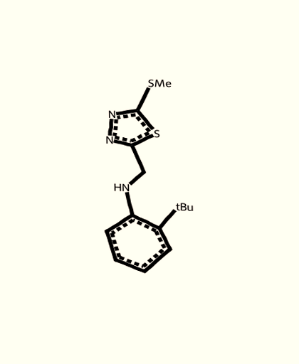 CSc1nnc(CNc2ccccc2C(C)(C)C)s1